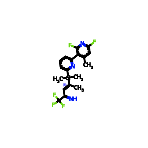 C/C(=C\C(=N)C(F)(F)F)[Si](C)(C)c1cccc(-c2c(C)cc(F)nc2F)n1